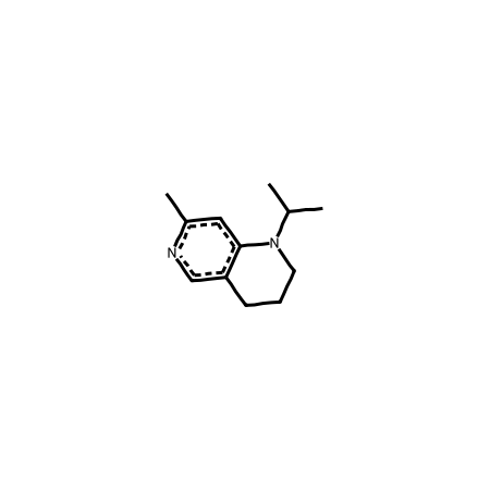 Cc1cc2c(cn1)CCCN2C(C)C